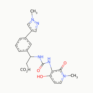 Cn1cc(-c2cccc(C(CC(=O)O)NC(=O)Nc3c(O)ccn(C)c3=O)c2)cn1